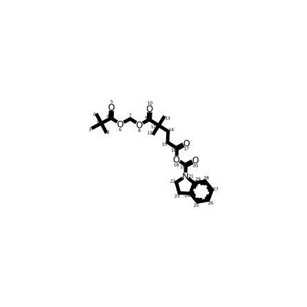 CC(C)(C)C(=O)OCOC(=O)C(C)(C)CCC(=O)OC(=O)N1CCc2ccccc21